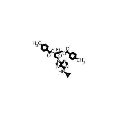 CC[C@]1(COC(=O)c2ccc(C)cc2)O[C@@H](n2cnc3c(NC4CC4)ncnc32)C[C@@H]1OC(=O)c1ccc(C)cc1